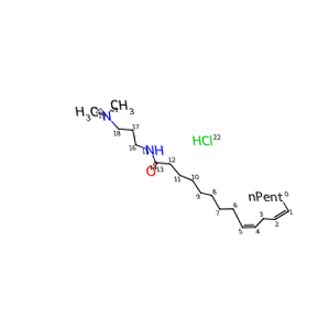 CCCCC/C=C\C/C=C\CCCCCCCC(=O)NCCCN(C)C.Cl